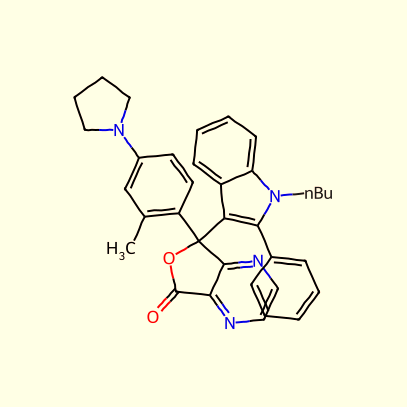 CCCCn1c(-c2ccccc2)c(C2(c3ccc(N4CCCC4)cc3C)OC(=O)c3nccnc32)c2ccccc21